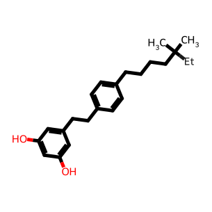 CCC(C)(C)CCCCc1ccc(CCc2cc(O)cc(O)c2)cc1